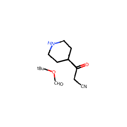 CC(C)(C)OC=O.N#CCC(=O)C1CCNCC1